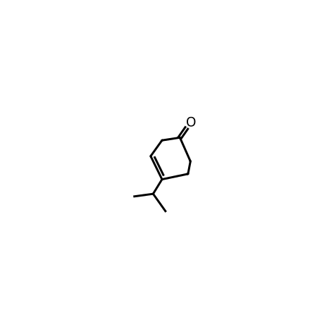 CC(C)C1=CCC(=O)CC1